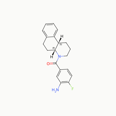 Nc1cc(C(=O)N2CCC[C@H]3c4ccccc4CC[C@H]32)ccc1F